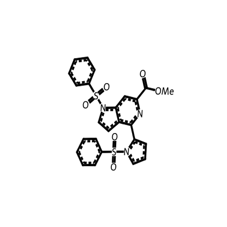 COC(=O)c1cc2c(ccn2S(=O)(=O)c2ccccc2)c(-c2cccn2S(=O)(=O)c2ccccc2)n1